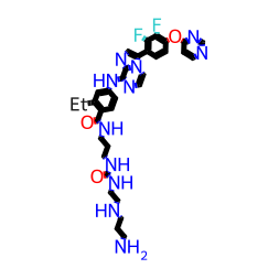 CCc1cc(Nc2nccn3c(-c4ccc(Oc5ccncn5)c(F)c4F)cnc23)ccc1C(=O)NCCCNC(=O)NCCNCCCN